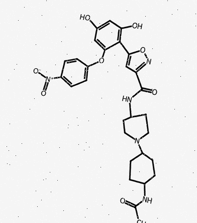 CC(=O)NC1CCC(N2CCC(NC(=O)c3cc(-c4c(O)cc(O)cc4Oc4ccc([N+](=O)[O-])cc4)on3)CC2)CC1